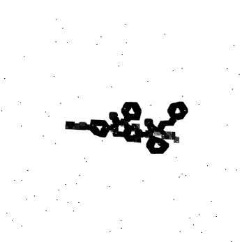 COc1ccc(N2Cc3cnc(N(C(=O)[C@@H](N)CCc4ccccc4)c4ccccc4)nc3N(c3ccccc3)C2=O)cc1